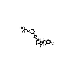 Cc1nn([C@H](C)c2ccc(Cl)cc2Cl)c2nc(N3CC([C@H]4CCCN(CCC(=O)O)C4)C3)cnc12